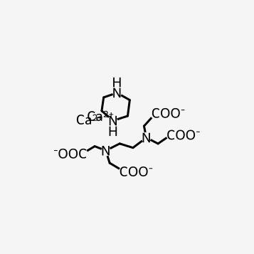 C1CNCCN1.O=C([O-])CN(CCN(CC(=O)[O-])CC(=O)[O-])CC(=O)[O-].[Ca+2].[Ca+2]